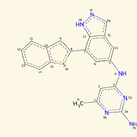 Cc1cc(Nc2cc(-c3cc4ccccc4s3)c3[nH]ncc3c2)nc(N)n1